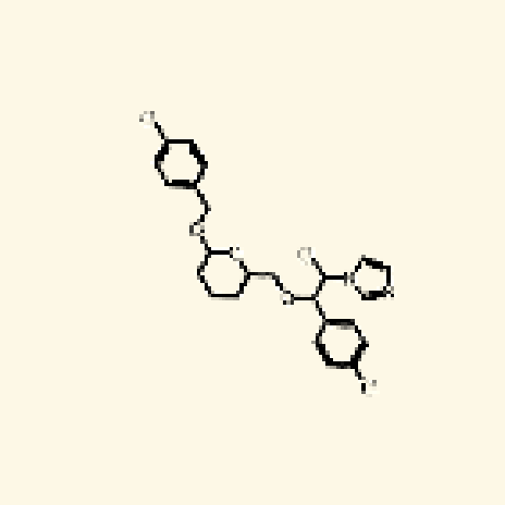 Clc1ccc(COC2CCCC(COC(c3ccc(Cl)cc3)C(Cl)n3ccnc3)O2)cc1